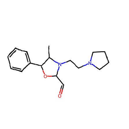 CC1C(c2ccccc2)OC(C=O)N1CCN1CCCC1